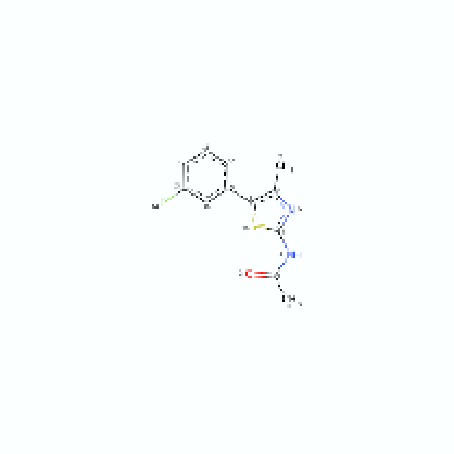 CC(=O)Nc1nc(C)c(-c2cccc(F)c2)s1